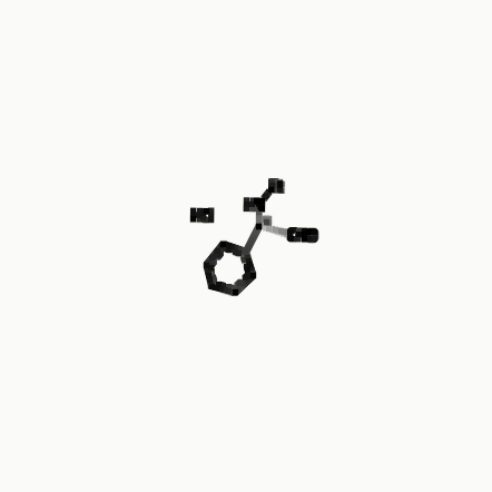 CCN[C@H](C=O)c1ccccc1.Cl